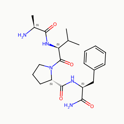 CC(C)[C@H](NC(=O)[C@H](C)N)C(=O)N1CCC[C@H]1C(=O)N[C@@H](Cc1ccccc1)C(N)=O